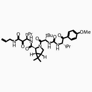 C=CCNC(=O)C(=O)C(CCC)NC(=O)[C@@H]1[C@@H]2[C@H](CN1C(=O)[C@@H](NC(=O)N[C@H](C(=O)c1ccc(OC)cc1)C(C)C)C(C)(C)C)C2(C)C